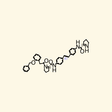 O=C(Nc1ccc(/C=C/c2ccc(NC(=O)[C@@H]3CCCN3C(=O)Cc3ccccc3OCc3ccccc3)cc2)cc1)[C@@H]1CCCN1